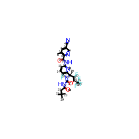 Cc1cc(C#N)cnc1C(=O)Nc1ccc(F)c([C@@]2(C)N=C(NC(=O)CC(C)(C)C)O[C@H](C(F)(F)F)[C@@H]2F)n1